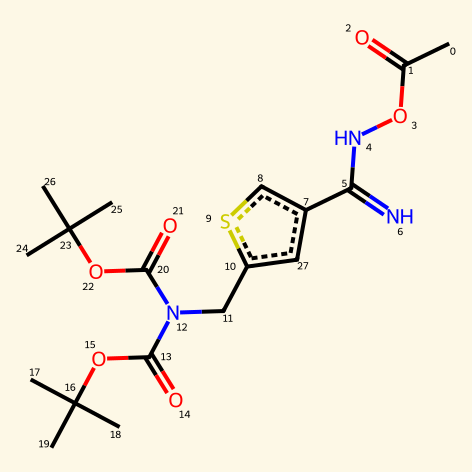 CC(=O)ONC(=N)c1csc(CN(C(=O)OC(C)(C)C)C(=O)OC(C)(C)C)c1